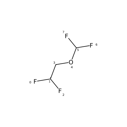 F[C](F)COC(F)F